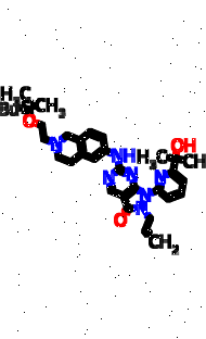 C=CCn1c(=O)c2cnc(Nc3ccc4c(c3)CCN(CCO[Si](C)(C)C(C)(C)C)C4)nc2n1-c1cccc(C(C)(C)O)n1